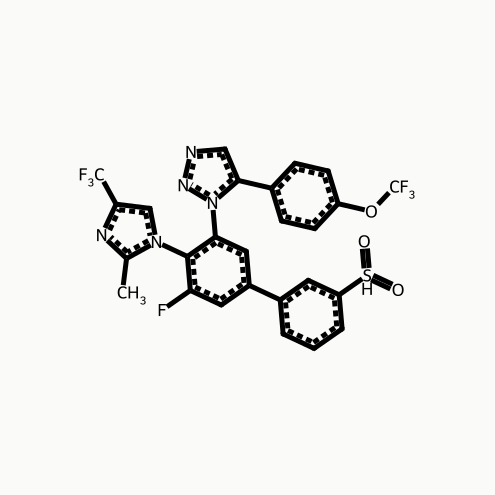 Cc1nc(C(F)(F)F)cn1-c1c(F)cc(-c2cccc([SH](=O)=O)c2)cc1-n1nncc1-c1ccc(OC(F)(F)F)cc1